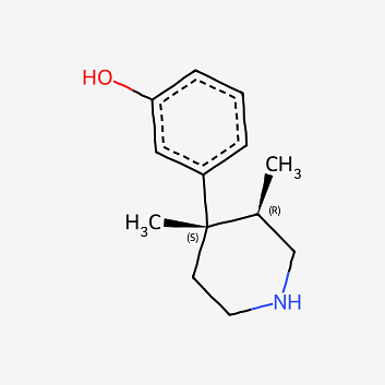 C[C@H]1CNCC[C@]1(C)c1cccc(O)c1